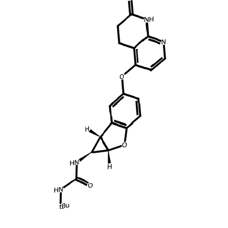 CC(C)(C)NC(=O)N[C@@H]1[C@H]2Oc3ccc(Oc4ccnc5c4CCC(=O)N5)cc3[C@@H]12